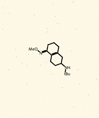 CON=C1CCCC2=C1CCC(NC(C)(C)C)C2